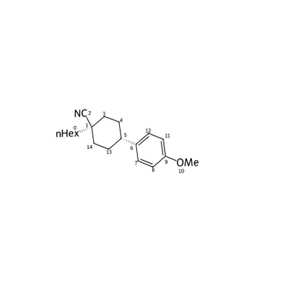 CCCCCC[C@]1(C#N)CC[C@H](c2ccc(OC)cc2)CC1